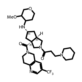 COC1COCCC1N[C@@H]1C[C@H]2CN(C(=O)CCN3CCCCC3)C[C@@]2(C(=O)N2CCc3ncc(C(F)(F)F)cc3C2)C1